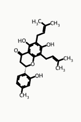 CC(C)=CCc1c(O)c(CC=C(C)C)c2c(c1O)C(=O)C[C@@H](c1ccc(C)cc1O)O2